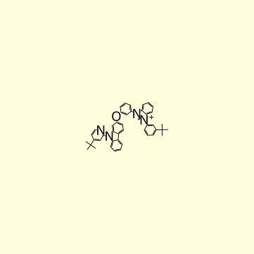 CC(C)(C)c1cccc(-[n+]2cn(-c3cccc(Oc4ccc5c6ccccc6n(-c6cc(C(C)(C)C)ccn6)c5c4)c3)c3ccccc32)c1